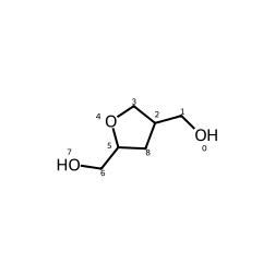 OCC1COC(CO)C1